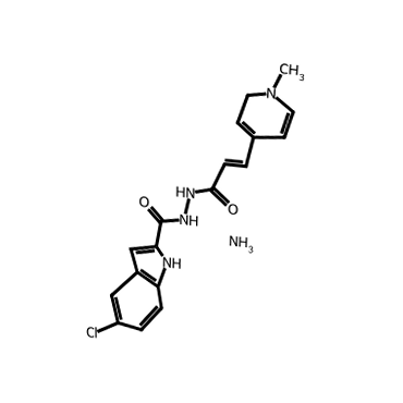 CN1C=CC(C=CC(=O)NNC(=O)c2cc3cc(Cl)ccc3[nH]2)=CC1.N